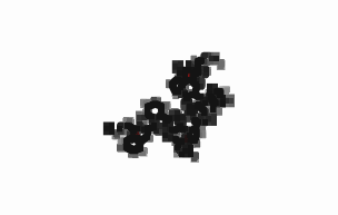 C=CCNC(=O)C1CCCN1C(=O)C(CCC(N)=O)NC(=O)[C@H](Cc1cnc[nH]1)NC(=O)C1CCCN1C(=O)[C@H](CC(N)=O)NC(=O)C1CCCCN1C(=O)C(Cc1ccccc1)NC(=O)CC